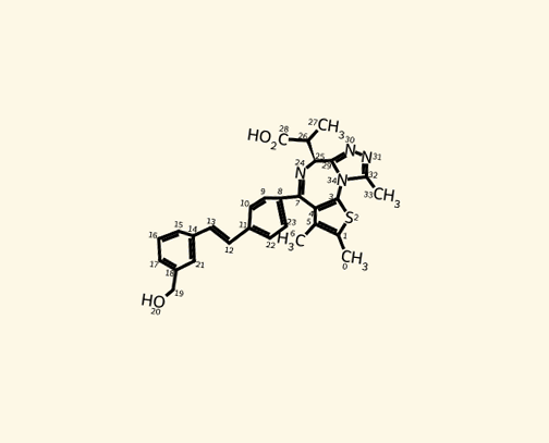 Cc1sc2c(c1C)C(c1ccc(C=Cc3cccc(CO)c3)cc1)=N[C@@H](C(C)C(=O)O)c1nnc(C)n1-2